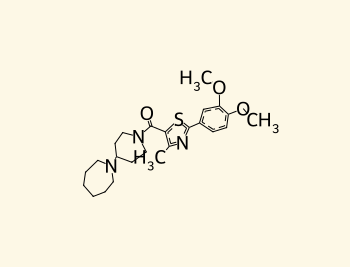 COc1ccc(-c2nc(C)c(C(=O)N3CCC(N4CCCCCC4)CC3)s2)cc1OC